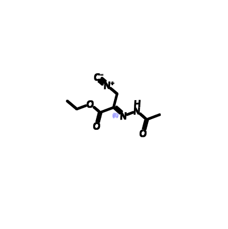 [C-]#[N+]C/C(=N\NC(C)=O)C(=O)OCC